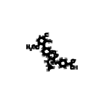 COc1ccc(Cl)c(F)c1-c1ccc([C@H](CC2CC2)C(=O)Nc2ccc(C(=O)O)cc2)[n+]([O-])c1